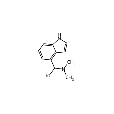 [CH2]CC(c1cccc2[nH]ccc12)N(C)C